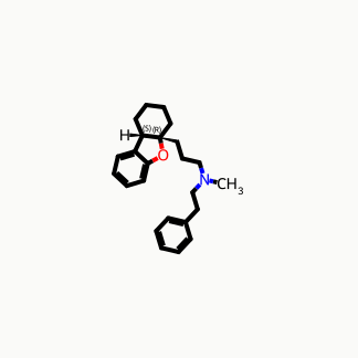 CN(CCC[C@]12CCCC[C@H]1c1ccccc1O2)CCc1ccccc1